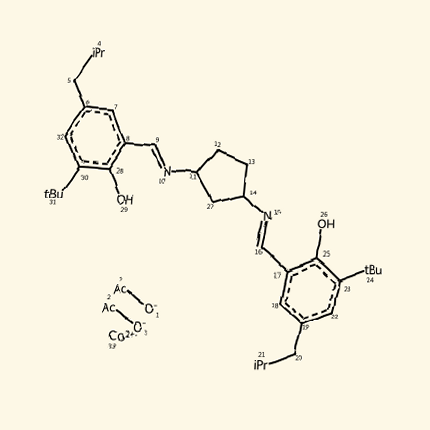 CC(=O)[O-].CC(=O)[O-].CC(C)Cc1cc(C=NC2CCC(N=Cc3cc(CC(C)C)cc(C(C)(C)C)c3O)C2)c(O)c(C(C)(C)C)c1.[Co+2]